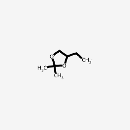 [CH2]CC1COC(C)(C)O1